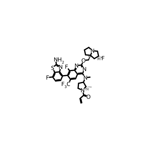 C=CC(=O)N1CCC(N(C)c2nc(OC[C@@]34CCCN3C[C@H](F)C4)nc3c(F)c(-c4ccc(F)c5sc(N)nc45)c(C(F)(F)F)cc23)[C@@H]1C